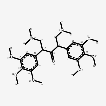 COc1cc(C(CN(C)C)C(=O)C(CN(C)C)c2cc(OC)c(OC)c(OC)c2)cc(OC)c1OC